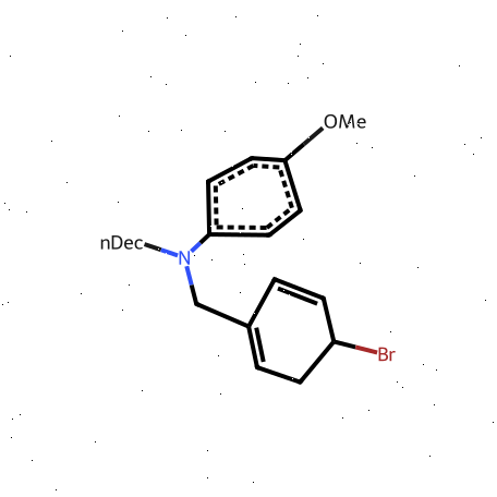 CCCCCCCCCCN(CC1=CCC(Br)C=C1)c1ccc(OC)cc1